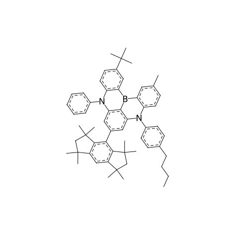 CCCCc1ccc(N2c3ccc(C)cc3B3c4cc(C(C)(C)C)ccc4N(c4ccccc4)c4cc(-c5c6c(cc7c5C(C)(C)CC7(C)C)C(C)(C)CC6(C)C)cc2c43)cc1